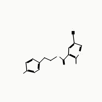 N#Cc1cnc(F)c(C(=O)NCCc2ccc(F)cc2)c1